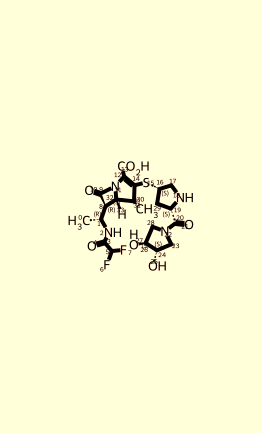 C[C@@H](NC(=O)C(F)F)[C@H]1C(=O)N2C(C(=O)O)=C(S[C@@H]3CN[C@H](C(=O)N4C[C@H](O)[C@@H](O)C4)C3)[C@H](C)[C@H]12